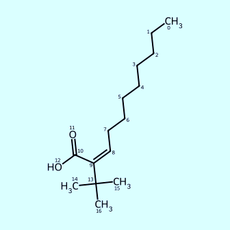 CCCCCCCC/C=C(\C(=O)O)C(C)(C)C